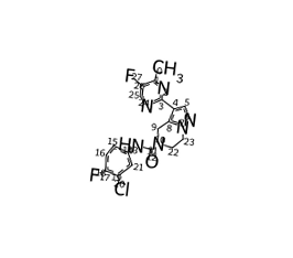 Cc1nc(-c2cnn3c2CN(C(=O)Nc2ccc(F)c(Cl)c2)CC3)ncc1F